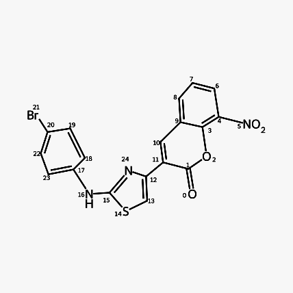 O=c1oc2c([N+](=O)[O-])cccc2cc1-c1csc(Nc2ccc(Br)cc2)n1